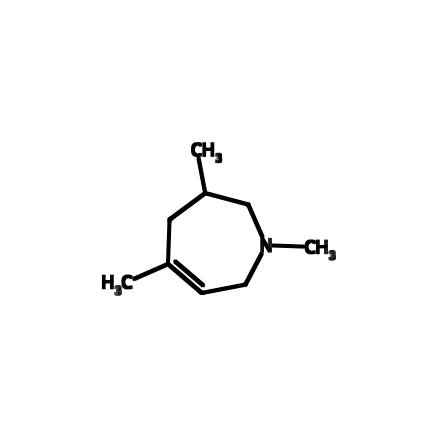 CC1=CCN(C)CC(C)C1